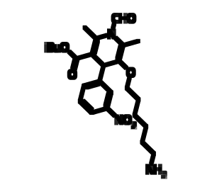 CC1=C(OCCCCCCN)C(c2cccc([N+](=O)[O-])c2)C(C(=O)OCC(C)C)=C(C)N1C=O